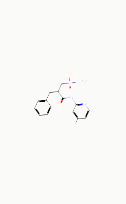 COP(=O)(O)CC(Cc1ccccc1)C(=O)Nc1cc(C(=O)O)ccn1